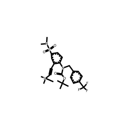 CN(C)S(=O)(=O)c1ccc(N(Cc2ccc(C(F)(F)F)cc2)C(=O)OC(C)(C)C)c(C#C[Si](C)(C)C)c1